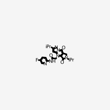 CC(C)c1cc2n(CC(=O)Nc3ccc(F)cn3)c3c(c(=O)n2n1)CN(C(C)C)C3=O